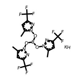 Cc1cc(C(F)(F)F)nn1OB(On1nc(C(F)(F)F)cc1C)On1nc(C(F)(F)F)cc1C.[KH]